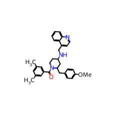 COc1ccc(CC2CC(NCc3ccnc4ccccc34)CCN2C(=O)c2cc(C)cc(C)c2)cc1